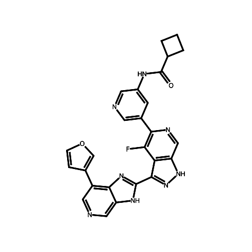 O=C(Nc1cncc(-c2ncc3[nH]nc(-c4nc5c(-c6ccoc6)cncc5[nH]4)c3c2F)c1)C1CCC1